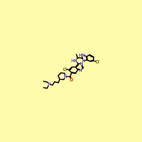 CCN(CC)CCCC1CCCN(C(=O)c2cc3ncnc(NC(C)c4nc5cc(Cl)ccc5[nH]4)c3cc2Cl)C1